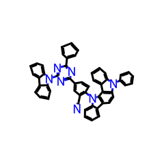 N#Cc1cc(-c2nc(-c3ccccc3)nc(-n3c4ccccc4c4ccccc43)n2)ccc1-n1c2ccccc2c2ccc3c(c4ccccc4n3-c3ccccc3)c21